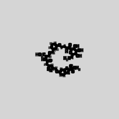 NCC1OC(C(=O)NCCOc2cccc(COCC(NC(=O)Cn3cc(COc4ccc5nc(S(N)(=O)=O)sc5c4)nn3)C(=O)O)c2)C(O)C(O)C1O